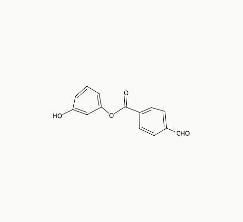 O=Cc1ccc(C(=O)Oc2cccc(O)c2)cc1